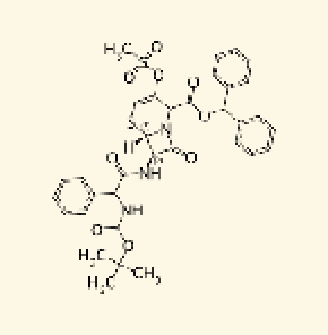 CC(C)(C)OC(=O)NC(C(=O)N[C@@H]1C(=O)N2C(C(=O)OC(c3ccccc3)c3ccccc3)C(OS(C)(=O)=O)=CS[C@@H]12)c1ccccc1